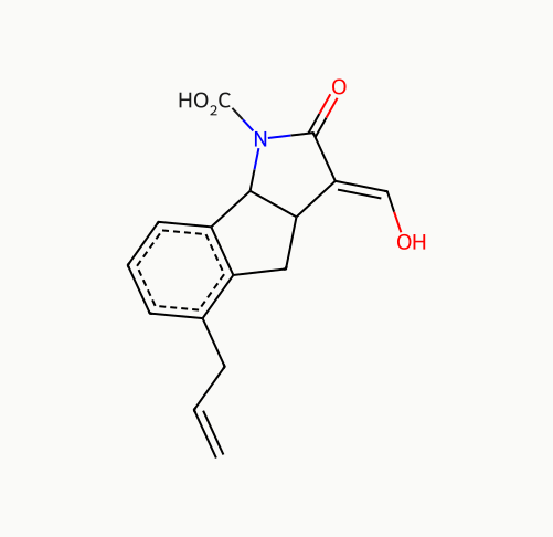 C=CCc1cccc2c1CC1C(=CO)C(=O)N(C(=O)O)C21